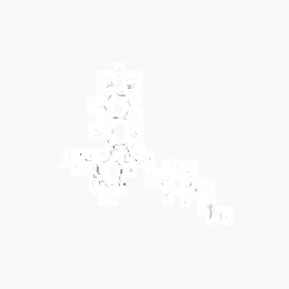 C#CCN1CCC(CCn2c(Sc3cc4c(cc3Br)OCO4)nc3c(N)ncnc32)CC1